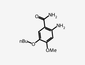 CCCCOc1cc(C(N)=O)c(N)cc1OC